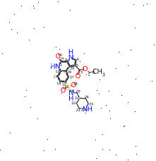 CCOC(=O)c1c[nH]c2c(=O)[nH]c3ccc(S(=O)(=O)NCC4CCNCC4)cc3c12